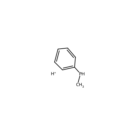 CPc1ccccc1.[H+]